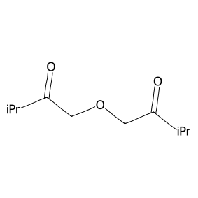 CC(C)C(=O)COCC(=O)C(C)C